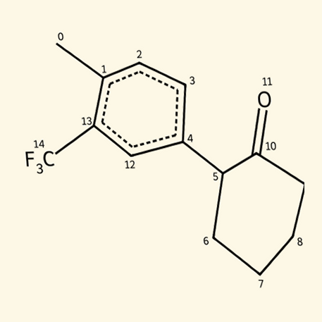 Cc1ccc(C2CCCCC2=O)cc1C(F)(F)F